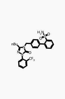 CCCCc1nn(-c2ccccc2C(F)(F)F)c(=O)n1Cc1ccc(-c2ccccc2S(N)(=O)=O)cc1